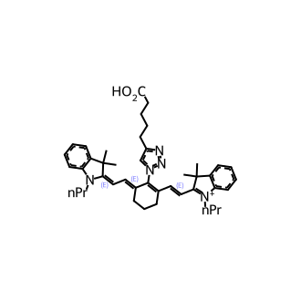 CCCN1/C(=C/C=C2\CCCC(/C=C/C3=[N+](CCC)c4ccccc4C3(C)C)=C2n2cc(CCCCC(=O)O)nn2)C(C)(C)c2ccccc21